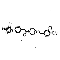 N#Cc1ccc(CCN2CCN(C(=O)Cc3ccc(N4C=NNN4)cc3)CC2)cc1Cl